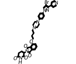 O=C1CCC(N2C(=O)c3cccc(OCCCCN4CCN(c5ccc(-n6cc(Br)c(-c7ccncc7)n6)cc5)CC4)c3C2=O)C(=O)N1